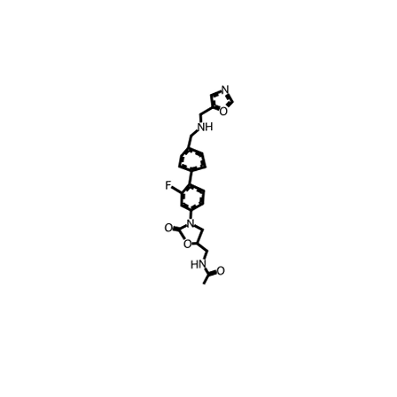 CC(=O)NCC1CN(c2ccc(-c3ccc(CNCc4cnco4)cc3)c(F)c2)C(=O)O1